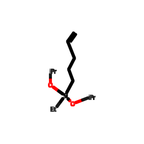 C=CCCC[Si](CC)(OC(C)C)OC(C)C